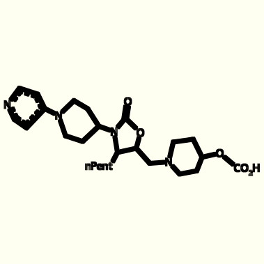 CCCCCC1C(CN2CCC(OC(=O)O)CC2)OC(=O)N1C1CCN(c2ccncc2)CC1